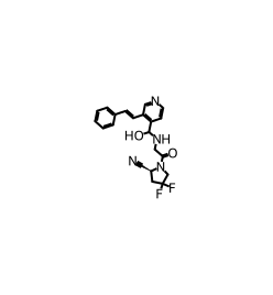 N#C[C@@H]1CC(F)(F)CN1C(=O)CNC(O)c1ccncc1/C=C/c1ccccc1